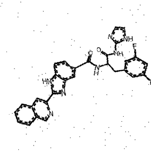 O=C(NC(Cc1cc(F)cc(F)c1)C(=O)Nc1ncc[nH]1)c1ccc2[nH]c(-c3cc4ccccc4cn3)nc2c1